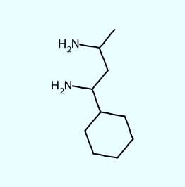 CC(N)CC(N)C1CCCCC1